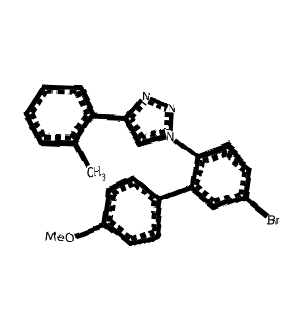 COc1ccc(-c2cc(Br)ccc2-n2cc(-c3ccccc3C)nn2)cc1